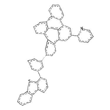 c1ccc(-c2cc3c4ccccc4c4cccc5c6cc(-c7cccc(-c8cccc9c8sc8ccccc89)c7)ccc6c(c2)c3c45)nc1